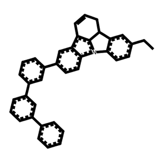 CCc1ccc2c(c1)C1CC=Cc3c1n-2c1ccc(-c2cccc(-c4cccc(-c5ccccc5)c4)c2)cc31